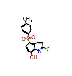 Cc1ccc(S(=O)(=O)c2ccc(O)c3nc(Cl)ccc23)cc1